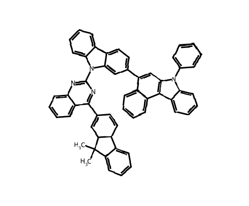 CC1(C)c2ccccc2C2C=CC(c3nc(-n4c5ccccc5c5ccc(-c6cc7c(c8ccccc68)c6ccccc6n7-c6ccccc6)cc54)nc4ccccc34)=CC21